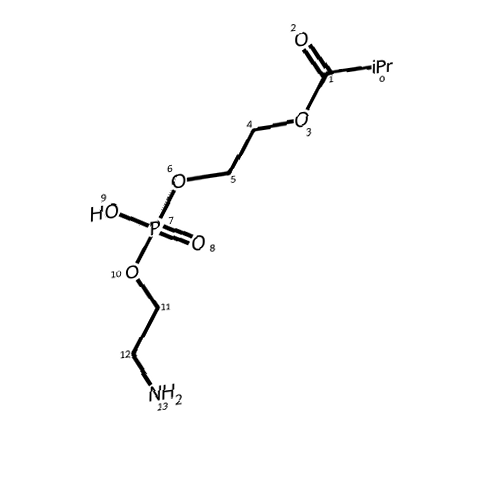 CC(C)C(=O)OCCOP(=O)(O)OCCN